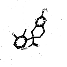 COC(=O)C1(c2cccc(F)c2C)CCc2nc(N)sc2C1